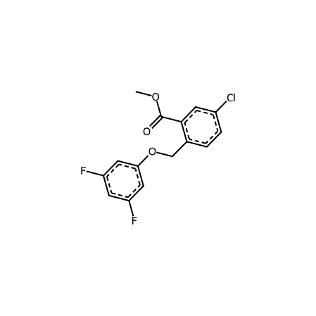 COC(=O)c1cc(Cl)ccc1COc1cc(F)cc(F)c1